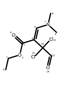 CCOC(=O)C(=CN(C)C)C(Cl)(Cl)C=O